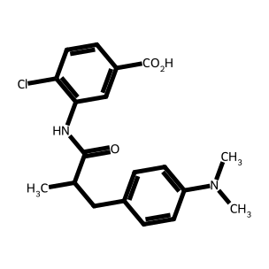 CC(Cc1ccc(N(C)C)cc1)C(=O)Nc1cc(C(=O)O)ccc1Cl